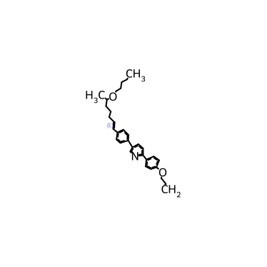 C=CCOc1ccc(-c2ccc(-c3ccc(/C=C/CCCC(C)OCCCCC)cc3)cn2)cc1